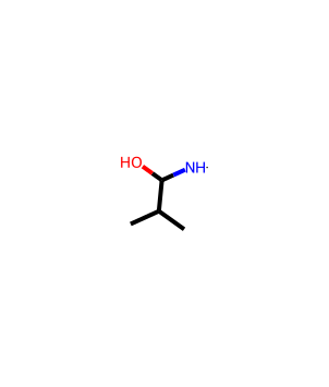 CC(C)C([NH])O